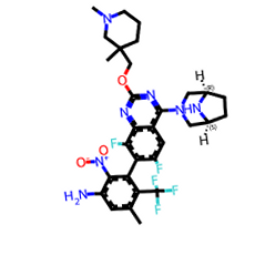 Cc1cc(N)c([N+](=O)[O-])c(-c2c(F)cc3c(N4C[C@H]5CC[C@@H](C4)N5)nc(OCC4(C)CCCN(C)C4)nc3c2F)c1C(F)(F)F